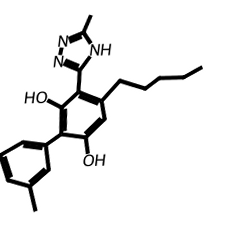 CCCCCc1cc(O)c(-c2cccc(C)c2)c(O)c1-c1nnc(C)[nH]1